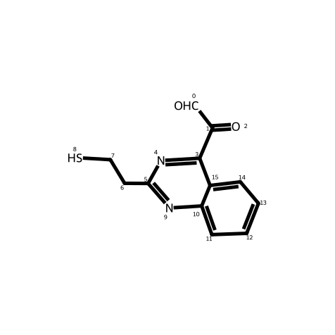 O=CC(=O)c1nc(CCS)nc2ccccc12